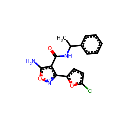 CC(NC(=O)c1c(-c2ccc(Cl)o2)noc1N)c1ccccc1